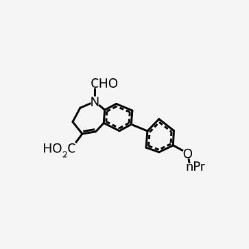 CCCOc1ccc(-c2ccc3c(c2)C=C(C(=O)O)CCN3C=O)cc1